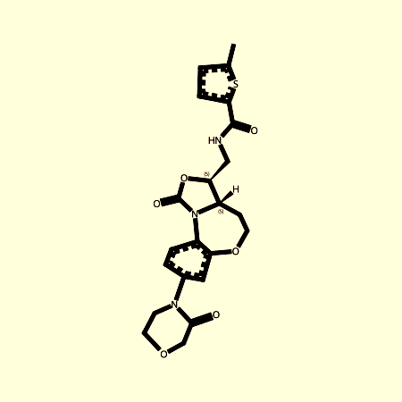 Cc1ccc(C(=O)NC[C@@H]2OC(=O)N3c4ccc(N5CCOCC5=O)cc4OCC[C@@H]23)s1